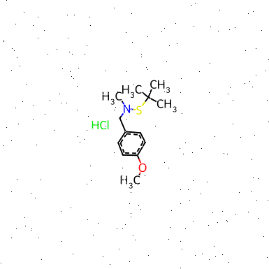 COc1ccc(CN(C)SC(C)(C)C)cc1.Cl